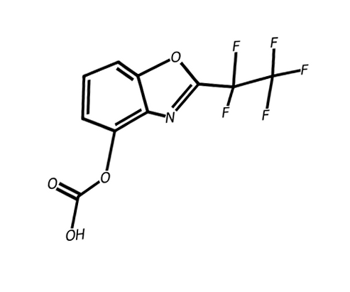 O=C(O)Oc1cccc2oc(C(F)(F)C(F)(F)F)nc12